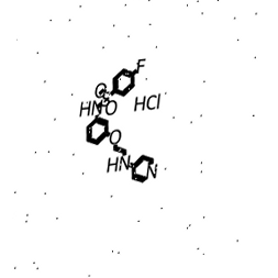 Cl.O=S(=O)(Nc1cccc(OCCNc2ccncc2)c1)c1ccc(F)cc1